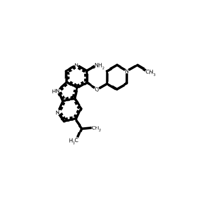 CCN1CCC(Oc2c(N)ncc3[nH]c4ncc(C(C)C)cc4c23)CC1